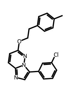 Cc1ccc(CCOc2ccc3ncc(-c4cccc(Cl)c4)n3n2)cc1